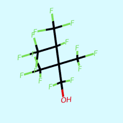 OC(F)(F)C(C(F)(F)F)(C(F)(F)F)C(F)(C(F)(F)F)C(F)(F)F